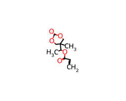 C=CC(=O)OC(C)C1(C)COC(=O)OC1